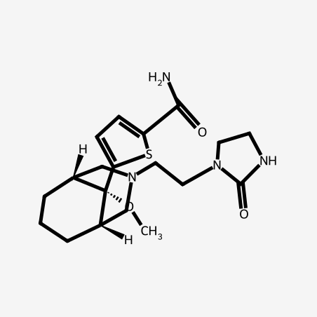 CO[C@@]1(c2ccc(C(N)=O)s2)[C@@H]2CCC[C@H]1CN(CCN1CCNC1=O)C2